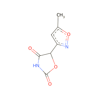 Cc1cc(C2OC(=O)NC2=O)no1